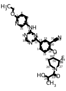 CCOc1ccc(Nc2ncnc(-c3ccc(O[C@H]4CCN(C(=O)C(C)O)C[C@H]4F)c(C#N)c3)n2)cn1